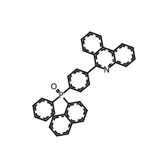 O=P(c1ccccc1)(c1ccc(-c2nc3ccccc3c3ccccc23)cc1)c1cccc2ccccc12